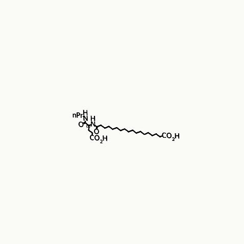 CCCNC(=O)[C@H](CCC(=O)O)NC(=O)CCCCCCCCCCCCCCCCC(=O)O